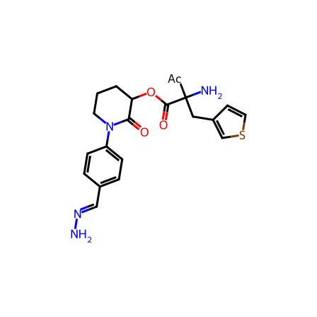 CC(=O)C(N)(Cc1ccsc1)C(=O)OC1CCCN(c2ccc(C=NN)cc2)C1=O